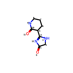 O=C1CNC(C2CCC[N]C2=O)=N1